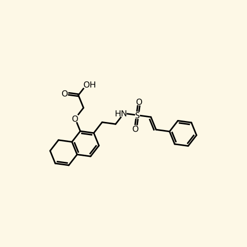 O=C(O)COc1c(CCNS(=O)(=O)C=Cc2ccccc2)ccc2c1CCC=C2